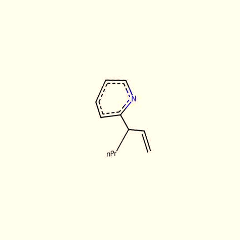 C=CC(CCC)c1ccccn1